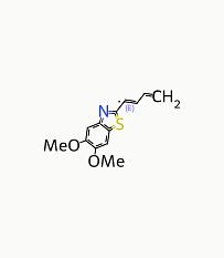 C=C/C=[C]/c1nc2cc(OC)c(OC)cc2s1